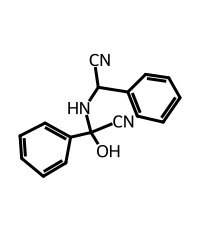 N#CC(NC(O)(C#N)c1ccccc1)c1ccccc1